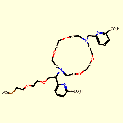 N#CSCCOCCOCC(c1cccc(C(=O)O)n1)N1CCOCCOCCN(Cc2cccc(C(=O)O)n2)CCOCCOCC1